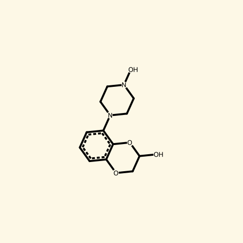 OC1COc2cccc(N3CCN(O)CC3)c2O1